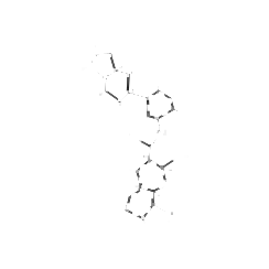 O=C(Nc1cccc(C2=CC3=CNON3C=C2)c1)c1cc2cccc(O)c2oc1=O